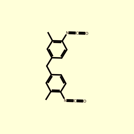 Cc1cc(Cc2ccc(N=C=O)c(C)c2)ccc1N=C=O